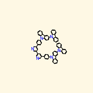 c1ccc2c(c1)c1ccccc1n2-c1ccc2c(c1)c1ccccc1n2-c1ccc(-c2cncc(-c3cncc(-c4ccc(-n5c6ccccc6c6cc(-n7c8ccccc8c8ccccc87)ccc65)cc4)c3)c2)cc1